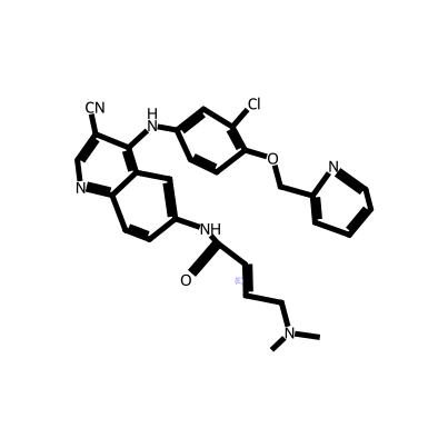 CN(C)C/C=C/C(=O)Nc1ccc2ncc(C#N)c(Nc3ccc(OCc4ccccn4)c(Cl)c3)c2c1